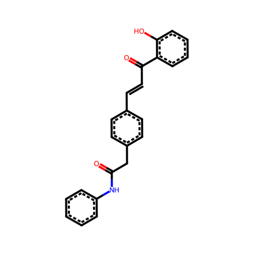 O=C(Cc1ccc(/C=C/C(=O)c2ccccc2O)cc1)Nc1ccccc1